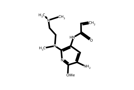 C=CC(=O)Nc1cc(N)c(OC)nc1N(C)CCN(C)C